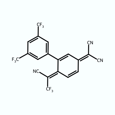 N#CC(C#N)=c1cc/c(=C(/C#N)C(F)(F)F)c(-c2cc(C(F)(F)F)cc(C(F)(F)F)c2)c1